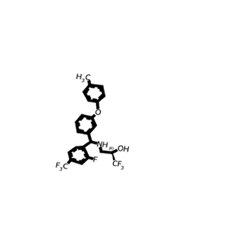 Cc1ccc(Oc2cccc(C(NC[C@@H](O)C(F)(F)F)c3ccc(C(F)(F)F)cc3F)c2)cc1